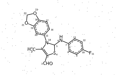 CC1=C(C=O)SC(Nc2ccc(F)cc2)N1c1ccc2c(c1)OCO2